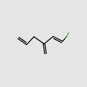 C=CCC(=C)/C=C/F